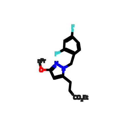 CCCOc1cc(CCC(=O)OCC)n(Cc2ccc(F)cc2F)n1